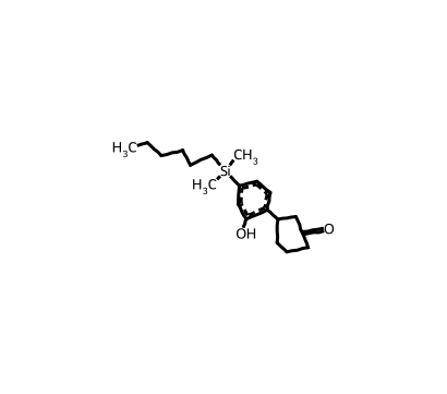 CCCCCC[Si](C)(C)c1ccc(C2CCCC(=O)C2)c(O)c1